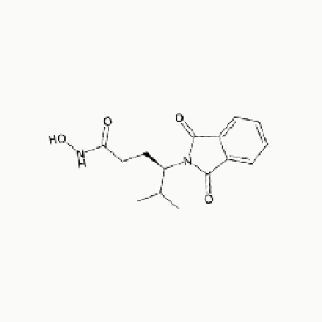 CC(C)[C@@H](CCC(=O)NO)N1C(=O)c2ccccc2C1=O